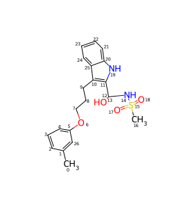 Cc1cccc(OCCCc2c(C(O)NS(C)(=O)=O)[nH]c3ccccc23)c1